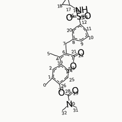 Cc1cc2c(C)c(Cc3cccc(S(=O)(=O)NC4CC4)c3)c(=O)oc2cc1OC(=O)N(C)C